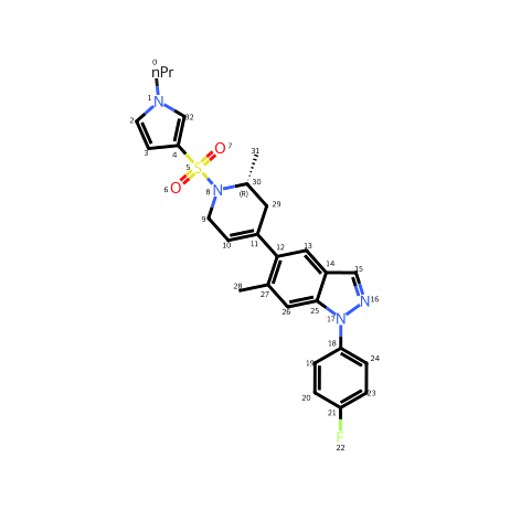 CCCn1ccc(S(=O)(=O)N2CC=C(c3cc4cnn(-c5ccc(F)cc5)c4cc3C)C[C@H]2C)c1